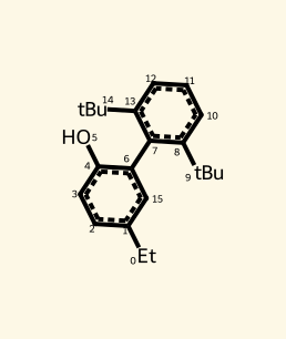 CCc1ccc(O)c(-c2c(C(C)(C)C)cccc2C(C)(C)C)c1